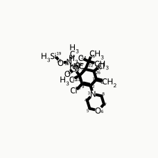 C=C1C(N2CCOCC2)=C(Cl)C(C)(S(=O)(=O)N(C)O[SiH3])C(C)(C(C)(C)C)C1Cl